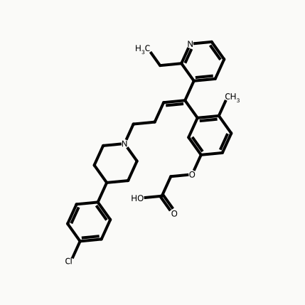 CCc1ncccc1C(=CCCN1CCC(c2ccc(Cl)cc2)CC1)c1cc(OCC(=O)O)ccc1C